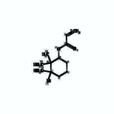 C=CC(=O)OC1CCCC(CC)(C(=O)O)C1(C)C(=O)O